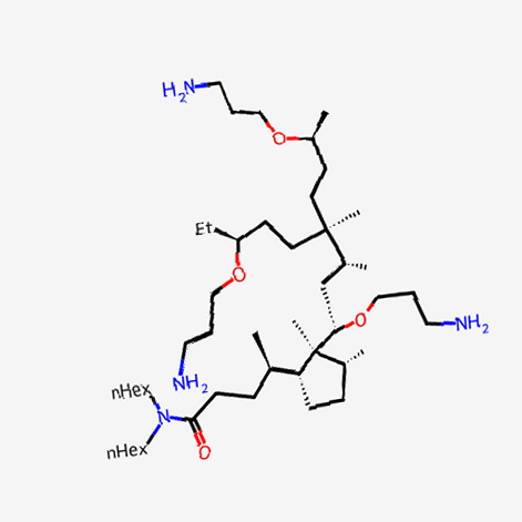 CCCCCCN(CCCCCC)C(=O)CC[C@@H](C)[C@H]1CC[C@@H](C)[C@]1(C)[C@H](C[C@@H](C)[C@@](C)(CC[C@H](CC)OCCCN)CC[C@H](C)OCCCN)OCCCN